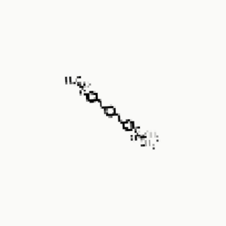 C=CC(=O)Oc1ccc(CCC2CCC(CCc3ccc(OC(=O)C(=C)C)cc3)CC2)cc1